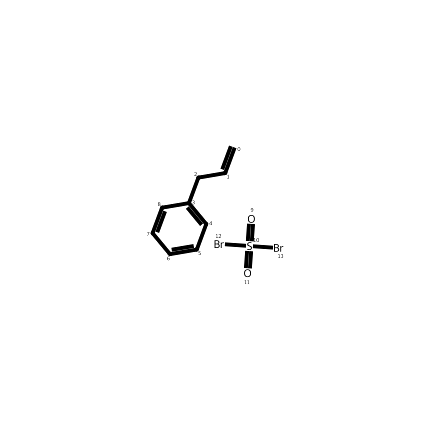 C=CCc1ccccc1.O=S(=O)(Br)Br